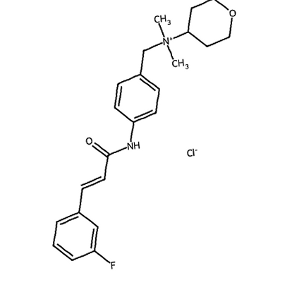 C[N+](C)(Cc1ccc(NC(=O)C=Cc2cccc(F)c2)cc1)C1CCOCC1.[Cl-]